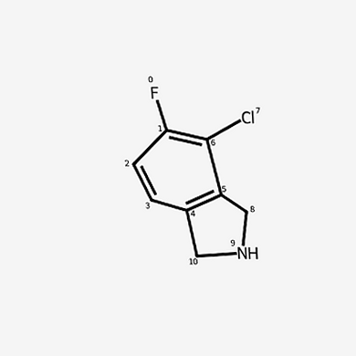 Fc1ccc2c(c1Cl)CNC2